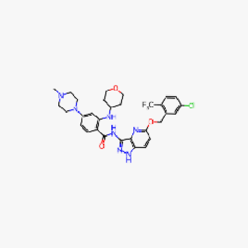 CN1CCN(c2ccc(C(=O)Nc3n[nH]c4ccc(OCc5cc(Cl)ccc5C(F)(F)F)nc34)c(NC3CCOCC3)c2)CC1